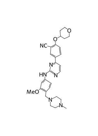 COc1cc(Nc2nccc(-c3ccc(OC4CCOCC4)c(C#N)c3)n2)ccc1CN1CCN(C)CC1